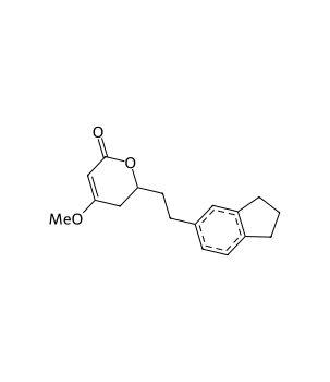 COC1=CC(=O)OC(CCc2ccc3c(c2)CCC3)C1